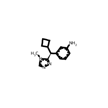 Cn1cnnc1[C@H](c1cccc(N)c1)C1CCC1